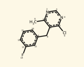 Cc1ncnc(Cl)c1Cc1cccc(F)c1